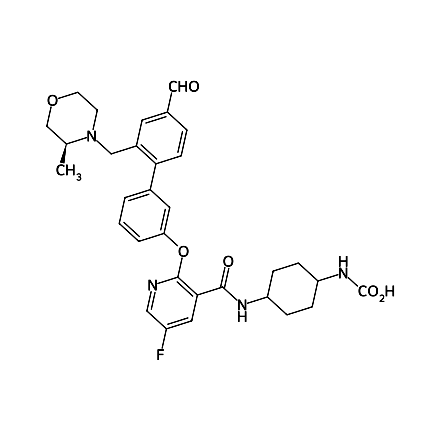 C[C@H]1COCCN1Cc1cc(C=O)ccc1-c1cccc(Oc2ncc(F)cc2C(=O)NC2CCC(NC(=O)O)CC2)c1